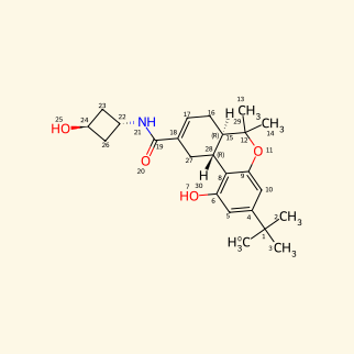 CC(C)(C)c1cc(O)c2c(c1)OC(C)(C)[C@@H]1CC=C(C(=O)N[C@H]3C[C@H](O)C3)C[C@@H]21